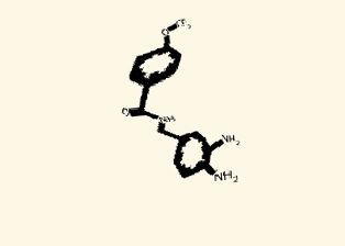 Nc1ccc(CNC(=O)c2ccc(OC(F)(F)F)cc2)cc1N